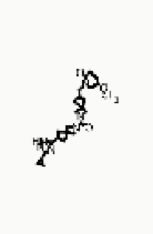 O=C(N1CC2(CC(Cn3cc(OC(F)(F)F)ccc3=O)C2)C1)N1CC2(CC(c3nc(C4CC4)n[nH]3)C2)C1